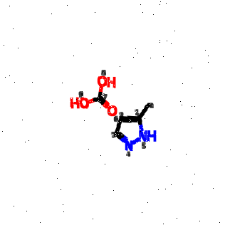 Cc1ccn[nH]1.O=C(O)O